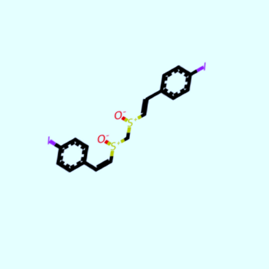 [O-][S+](/C=C\c1ccc(I)cc1)C[S+]([O-])/C=C/c1ccc(I)cc1